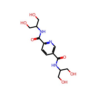 O=C(NC(CO)CO)c1ccc(C(=O)NC(CO)CO)nc1